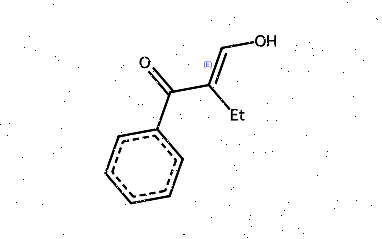 CC/C(=C\O)C(=O)c1ccccc1